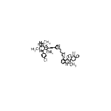 Cc1c(C#Cc2cnn(CCCCNc3cccc4nc(C)n([C@H]5CCC(=O)NC5=O)c(=O)c34)c2)sc2c1C(c1ccc(Cl)cc1)=N[C@@H](C)c1nnc(C)n1-2